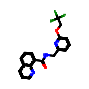 O=C(NCc1cccc(OCC(F)(F)F)n1)c1cccc2cccnc12